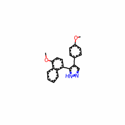 COc1ccc(-c2cn[nH]c2-c2ccc(OC)c3ccccc23)cc1